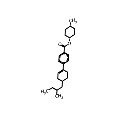 CCC(C)CC1CC=C(c2ccc(C(=O)O[C@H]3CC[C@H](C)CC3)cc2)CC1